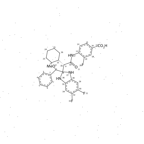 COC(c1ccccc1)C1([C@@H](C(=O)Nc2ccc(C(=O)O)cc2F)C2CCCCC2)Nc2cc(F)c(F)cc2N1